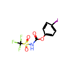 O=C(NS(=O)(=O)C(F)(F)F)Oc1ccc(I)cc1